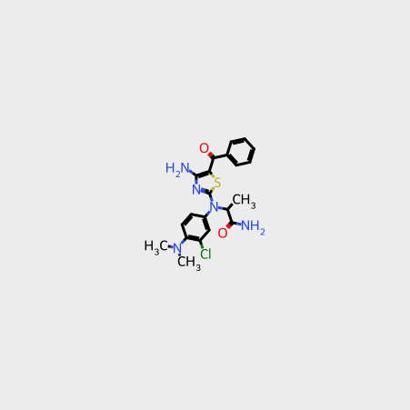 CC(C(N)=O)N(c1ccc(N(C)C)c(Cl)c1)c1nc(N)c(C(=O)c2ccccc2)s1